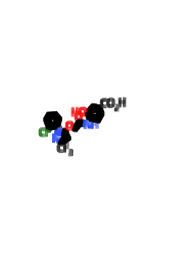 O=C(COc1cc(C(F)(F)F)nn1-c1ccccc1Cl)Nc1ccc(C(=O)O)cc1O